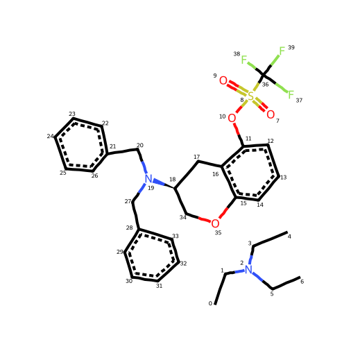 CCN(CC)CC.O=S(=O)(Oc1cccc2c1C[C@H](N(Cc1ccccc1)Cc1ccccc1)CO2)C(F)(F)F